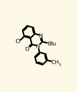 Cc1cccc(-n2c(C(C)(C)C)nc3cccc(Cl)c3c2=O)c1